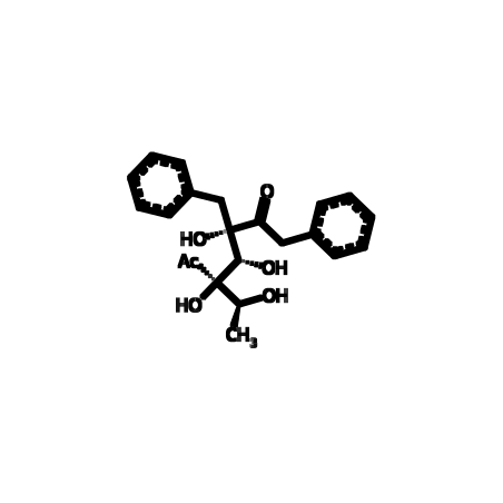 CC(=O)[C@@](O)([C@H](C)O)[C@@H](O)[C@@](O)(Cc1ccccc1)C(=O)Cc1ccccc1